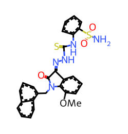 COc1cccc2c1N(Cc1cccc3ccccc13)C(=O)C2=NNC(=S)Nc1ccccc1S(N)(=O)=O